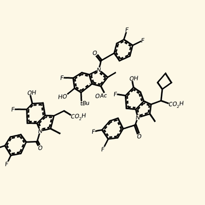 CC(=O)Oc1c(C)n(C(=O)c2ccc(F)c(F)c2)c2cc(F)c(O)c(C(C)(C)C)c12.Cc1c(C(C(=O)O)C2CCC2)c2cc(O)c(F)cc2n1C(=O)c1ccc(F)c(F)c1.Cc1c(CC(=O)O)c2cc(O)c(F)cc2n1C(=O)c1ccc(F)c(F)c1